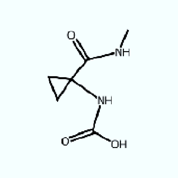 CNC(=O)C1(NC(=O)O)CC1